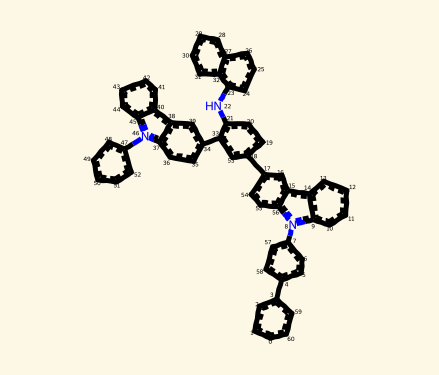 c1ccc(-c2ccc(-n3c4ccccc4c4cc(-c5ccc(Nc6cccc7ccccc67)c(-c6ccc7c(c6)c6ccccc6n7-c6ccccc6)c5)ccc43)cc2)cc1